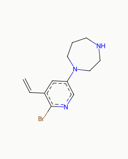 C=Cc1cc(N2CCCNCC2)cnc1Br